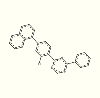 Clc1cc(-c2cccc3ccccc23)ccc1-c1ncnc(-c2ccccc2)n1